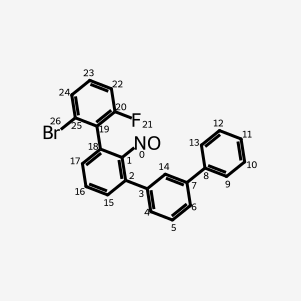 O=Nc1c(-c2cccc(-c3ccccc3)c2)cccc1-c1c(F)cccc1Br